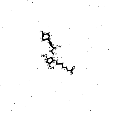 CC(=O)CCCCCC[C@@H]1[C@@H](CCC(O)C#Cc2ccc(C)cc2)[C@H](O)C[C@@H]1O